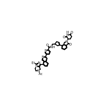 CCc1nc(-c2cccc3cc(-c4ccc(C(=O)NCC5CC=C(c6cccc7c6CN(C6CCC(=O)NC6=O)C7=O)C5)nc4)ncc23)c2n1CCN(C(C)=O)C2